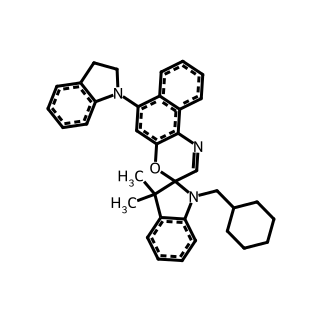 CC1(C)c2ccccc2N(CC2CCCCC2)C12C=Nc1c(cc(N3CCc4ccccc43)c3ccccc13)O2